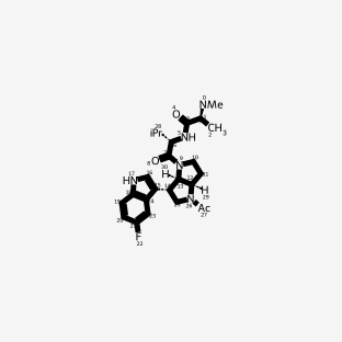 CN[C@@H](C)C(=O)N[C@H](C(=O)N1CC[C@@H]2[C@H]1[C@@H](c1c[nH]c3ccc(F)cc13)CN2C(C)=O)C(C)C